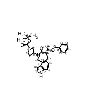 CC(C)(C)OC(=O)N1CCC(N2Cc3c(ccc4[nH]ncc34)C[C@@H](C(=O)OCc3ccccc3)C2=O)C1